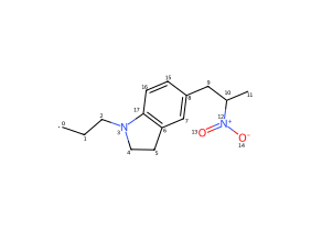 [CH2]CCN1CCc2cc(CC(C)[N+](=O)[O-])ccc21